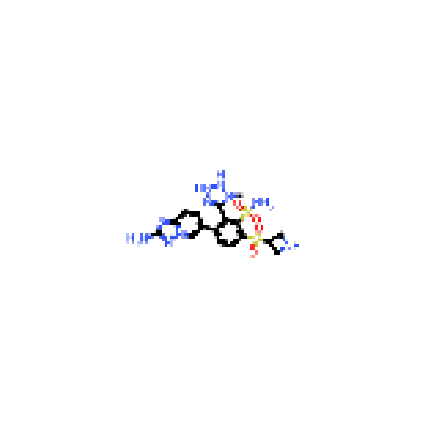 CN1NNN=C1c1c(-c2ccc3nc(N)nn3c2)ccc(S(=O)(=O)C2CNC2)c1S(N)(=O)=O